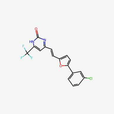 O=c1nc(/C=C/c2ccc(-c3cccc(Cl)c3)o2)cc(C(F)(F)F)[nH]1